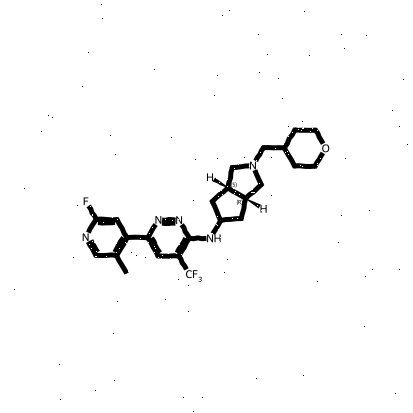 Cc1cnc(F)cc1-c1cc(C(F)(F)F)c(NC2C[C@@H]3CN(CC4CCOCC4)C[C@@H]3C2)nn1